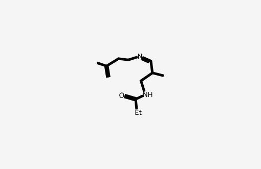 C=C(C)CC/N=C\C(C)CNC(=O)CC